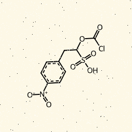 O=C(Cl)OC(Cc1ccc([N+](=O)[O-])cc1)S(=O)(=O)O